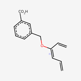 C=C/C=C(\C=C)OCc1cccc(C(=O)O)c1